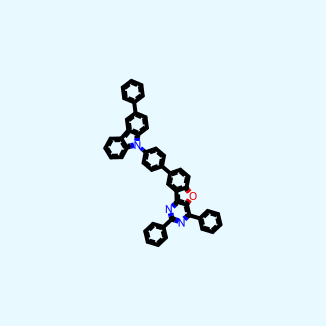 c1ccc(-c2ccc3c(c2)c2ccccc2n3-c2ccc(-c3ccc4oc5c(-c6ccccc6)nc(-c6ccccc6)nc5c4c3)cc2)cc1